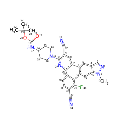 Cn1ncc2cc(-c3cc(C#N)c(N4CCC(NC(=O)OC(C)(C)C)CC4)nc3-c3ccc(C#N)c(F)c3)ccc21